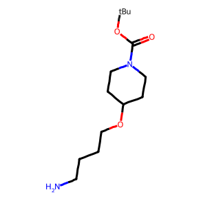 CC(C)(C)OC(=O)N1CCC(OCCCCN)CC1